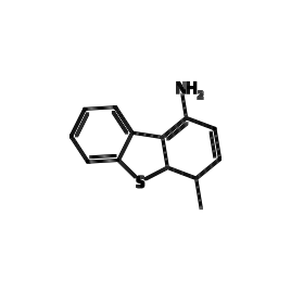 CC1C=CC(N)=C2c3ccccc3SC21